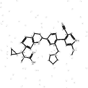 COc1cc(-c2ccc(C3CCc4ccc([C@H](C5CC5)[C@H](C)C(=O)O)cc4O3)cc2CN2CCCC2)c(C#N)cn1